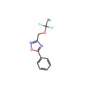 CC(C)C(F)(F)OCc1noc(-c2ccccc2)n1